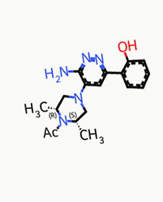 CC(=O)N1[C@H](C)CN(c2cc(-c3ccccc3O)nnc2N)C[C@@H]1C